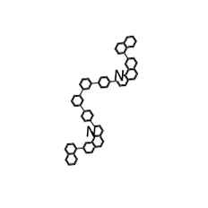 c1cc(-c2ccc(-c3ccc4ccc5ccc(-c6cccc7ccccc67)cc5c4n3)cc2)cc(-c2cccc(-c3ccc(-c4ccc5ccc6ccc(-c7cccc8ccccc78)cc6c5n4)cc3)c2)c1